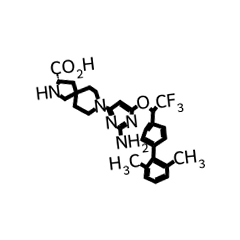 Cc1cccc(C)c1-c1ccc(C(Oc2cc(N3CCC4(CC3)CN[C@H](C(=O)O)C4)nc(N)n2)C(F)(F)F)cc1